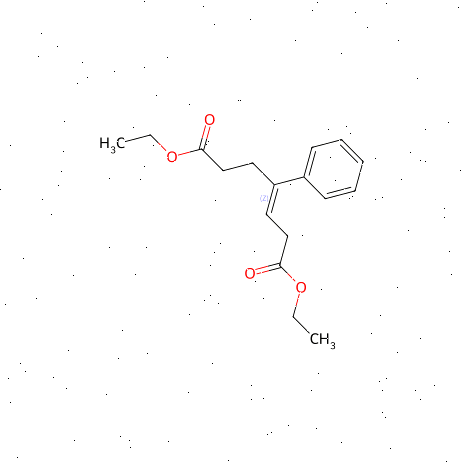 CCOC(=O)C/C=C(/CCC(=O)OCC)c1ccccc1